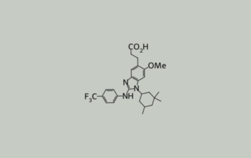 COc1cc2c(cc1CCC(=O)O)nc(Nc1ccc(C(F)(F)F)cc1)n2C1CC(C)CC(C)(C)C1